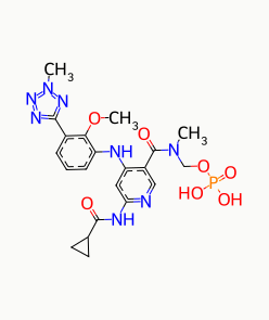 COc1c(Nc2cc(NC(=O)C3CC3)ncc2C(=O)N(C)COP(=O)(O)O)cccc1-c1nnn(C)n1